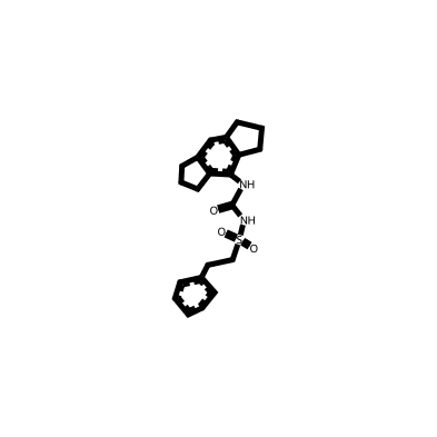 O=C(Nc1c2c(cc3c1CCC3)CCC2)NS(=O)(=O)CCc1ccccc1